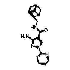 Nc1nn(-c2ncccn2)cc1C(=O)NCC1=C2C3CC(C1)CC2C3